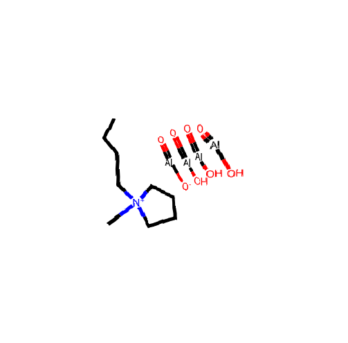 CCCC[N+]1(C)CCCC1.[O]=[Al][O-].[O]=[Al][OH].[O]=[Al][OH].[O]=[Al][OH]